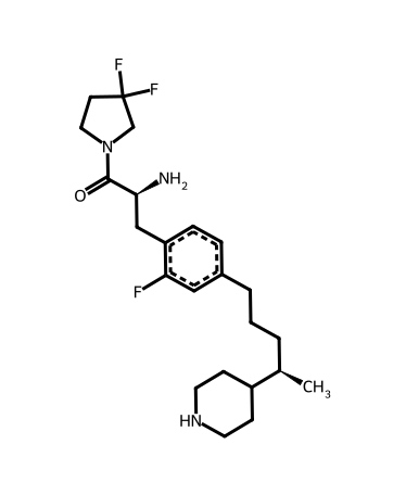 C[C@H](CCCc1ccc(C[C@H](N)C(=O)N2CCC(F)(F)C2)c(F)c1)C1CCNCC1